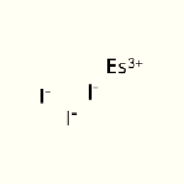 [Es+3].[I-].[I-].[I-]